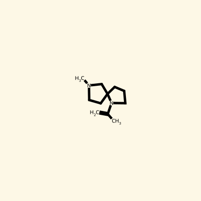 C=C(C)N1CCCC12CCN(C)C2